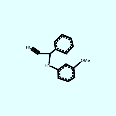 C#CC(Nc1cccc(OC)c1)c1ccccc1